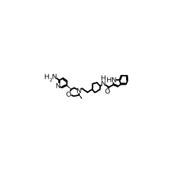 C[C@H]1CO[C@@H](c2ccc(N)nc2)CN1CCC1CCC(NC(=O)c2cc3ccccc3[nH]2)CC1